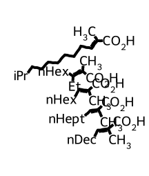 CC(=CCCCCCCCC(C)C)C(=O)O.CCCCCCC(CC)=C(C)C(=O)O.CCCCCCC=C(C)C(=O)O.CCCCCCCC=C(C)C(=O)O.CCCCCCCCCCC=C(C)C(=O)O